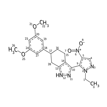 CCn1ncc([N+](=O)[O-])c1-c1n[nH]c2c1CCC(c1cc(OC)cc(OC)c1)C2